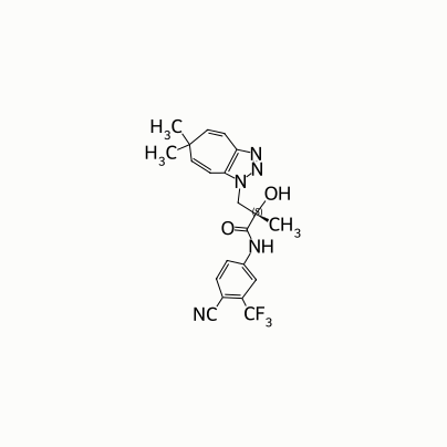 CC1(C)C=Cc2nnn(C[C@](C)(O)C(=O)Nc3ccc(C#N)c(C(F)(F)F)c3)c2C=C1